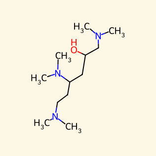 CN(C)CCC(CC(O)CN(C)C)N(C)C